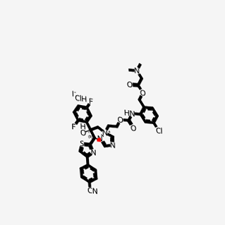 C[C@@H](c1nc(-c2ccc(C#N)cc2)cs1)[C@](O)(C[N+]1(CCOC(=O)Nc2cc(Cl)ccc2COC(=O)CN(C)C)C=NC=N1)c1cc(F)ccc1F.Cl.[I-]